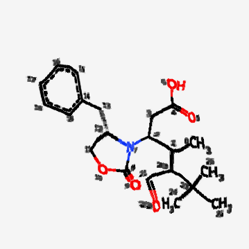 CC(C(CC(=O)O)N1C(=O)OC[C@@H]1Cc1ccccc1)C(C=O)C(C)(C)C